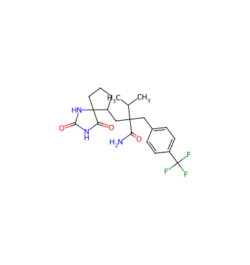 CC(C)C(Cc1ccc(C(F)(F)F)cc1)(CC1CCCC12NC(=O)NC2=O)C(N)=O